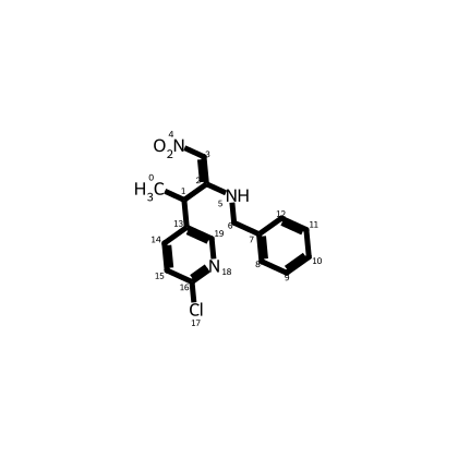 CC(C(=C[N+](=O)[O-])NCc1ccccc1)c1ccc(Cl)nc1